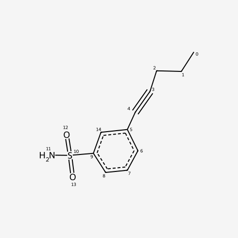 CCCC#Cc1cccc(S(N)(=O)=O)c1